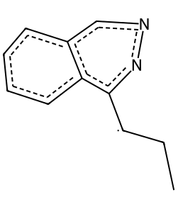 CC[CH]c1nncc2ccccc12